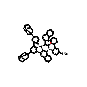 CC(C)(C)c1ccc(N2c3sc4c(ccc5ccccc54)c3B3c4c(cc5ccccc5c42)-c2cc(C45CC6CC(CC(C6)C4)C5)cc4c5cc(C67CC8CC(CC(C8)C6)C7)ccc5n3c24)c(-c2ccccc2)c1